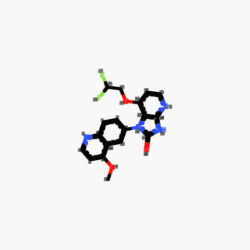 COc1ccnc2ccc(-n3c(=O)[nH]c4nccc(OCC(F)F)c43)cc12